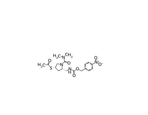 CC(=O)S[C@H]1C[C@@H](CNC(=O)OCc2ccc([N+](=O)[O-])cc2)N(C(=O)N(C)C)C1